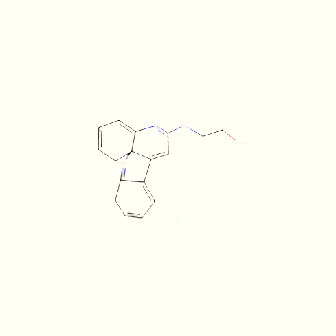 Cl.OCCNC1=NC2=CC=CCC23N=C2CC=CC=C2C3=C1